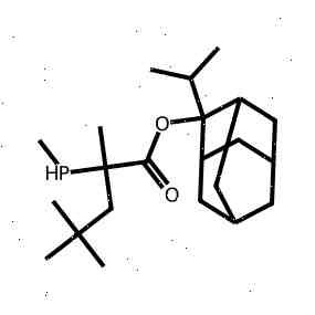 CPC(C)(CC(C)(C)C)C(=O)OC1(C(C)C)C2CC3CC(C2)CC1C3